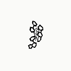 c1ccc(-c2cccc(N(c3cccc(-c4cccc5ccccc45)c3)c3c4ncccc4cc4c3oc3ccccc34)c2)cc1